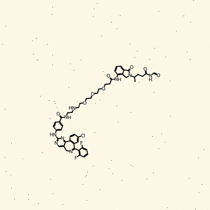 CC(CCC(=O)NC=O)N1Cc2c(NC(=O)CCOCCOCCOCCNCCNC(=O)c3ccc(Nc4ncc5c(n4)-c4ccc(Cl)cc4C(c4c(F)cccc4F)=NC5)cc3)cccc2C1=O